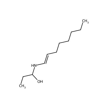 CCCCCCC=CNC(O)CC